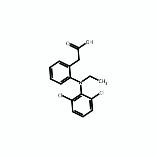 CCN(c1ccccc1CC(=O)O)c1c(Cl)cccc1Cl